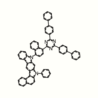 c1ccc(-c2ccc(-c3nc(-c4ccc(-c5ccccc5)cc4)nc(-c4ccc(-n5c6ccccc6c6cc7c8c9ccccc9ccc8n(-c8ccccc8)c7cc65)c5ccccc45)n3)cc2)cc1